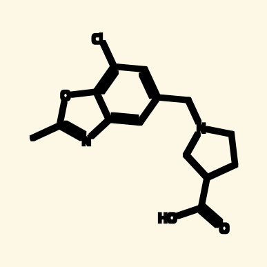 Cc1nc2cc(CN3CCC(C(=O)O)C3)cc(Cl)c2o1